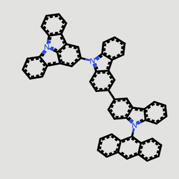 c1ccc2c(-n3c4ccccc4c4cc(-c5ccc6c(c5)c5ccccc5n6-c5cc6c7ccccc7n7c8ccccc8c(c5)c67)ccc43)c3ccccc3cc2c1